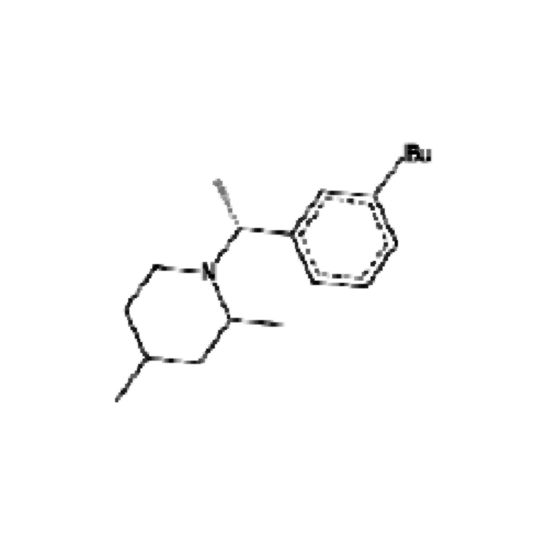 CCC(C)c1cccc([C@@H](C)N2CCC(C)CC2C)c1